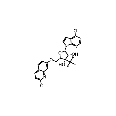 O[C@H]1[C@H](n2ccc3c(Cl)ncnc32)O[C@H](COc2ccc3ccc(Cl)nc3c2)[C@]1(O)C(F)(F)F